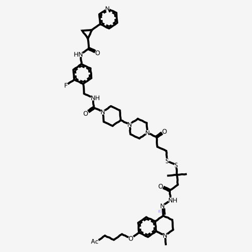 CC(=O)CCCOc1ccc2c(c1)N(C)CC/C2=N\NC(=O)CC(C)(C)SSCCC(=O)N1CCN(C2CCN(C(=O)NCc3ccc(NC(=O)C4CC4c4cccnc4)cc3F)CC2)CC1